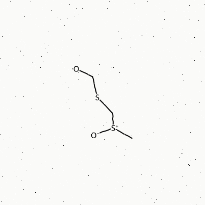 C[S+]([O-])CSC[O]